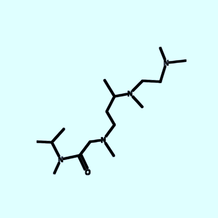 CC(CCN(C)CC(=O)N(C)C(C)C)N(C)CCN(C)C